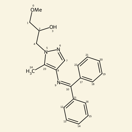 COCC(O)Cn1ncc(N=C(c2ccccc2)c2ccccc2)c1C